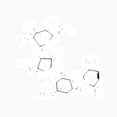 CC[C@@H]1C=C[C@@H](N)[C@@H](O[C@H]2[C@H](O[C@@H]3O[C@H](CO)[C@@H](O[C@H]4O[C@@H](CN)[C@@H](O)[C@H](O)[C@H]4N)[C@H]3O)[C@@H](O)[C@H](NC)C[C@@H]2N)O1